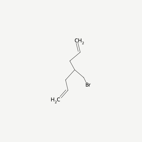 C=CCC(CBr)CC=C